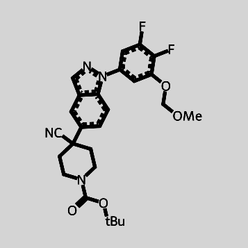 COCOc1cc(-n2ncc3cc(C4(C#N)CCN(C(=O)OC(C)(C)C)CC4)ccc32)cc(F)c1F